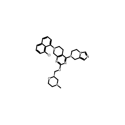 CN1CCO[C@@H](COc2nc3c(c(N4CCn5cncc5C4)n2)CCN(c2cccc4cccc(Cl)c24)C3)C1